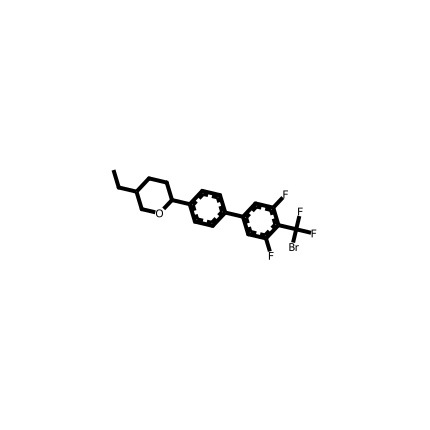 CCC1CCC(c2ccc(-c3cc(F)c(C(F)(F)Br)c(F)c3)cc2)OC1